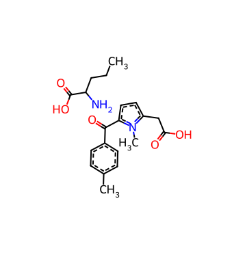 CCCC(N)C(=O)O.Cc1ccc(C(=O)c2ccc(CC(=O)O)n2C)cc1